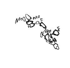 COc1cc2nccc(Oc3ccc(NC(=O)/C(=C/NCC4CCOCC4)C(=O)Nc4ccc(F)cc4)cc3F)c2cc1OC